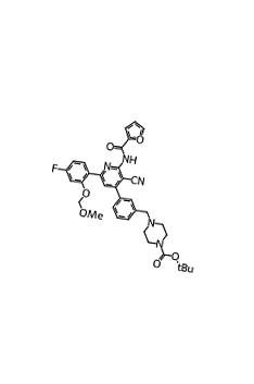 COCOc1cc(F)ccc1-c1cc(-c2cccc(CN3CCN(C(=O)OC(C)(C)C)CC3)c2)c(C#N)c(NC(=O)c2ccco2)n1